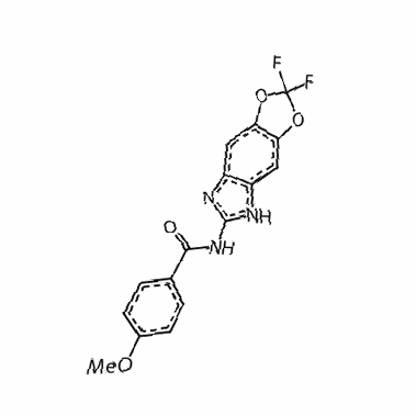 COc1ccc(C(=O)Nc2nc3cc4c(cc3[nH]2)OC(F)(F)O4)cc1